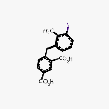 Cc1c(I)cccc1Cc1ccc(C(=O)O)cc1C(=O)O